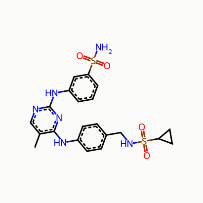 Cc1cnc(Nc2cccc(S(N)(=O)=O)c2)nc1Nc1ccc(CNS(=O)(=O)C2CC2)cc1